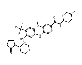 COc1cc(C(=O)NC2CCN(C)CC2)ccc1Nc1ncc(C(F)(F)F)c(N[C@@H]2CCCC[C@H]2N2CCCC2=O)n1